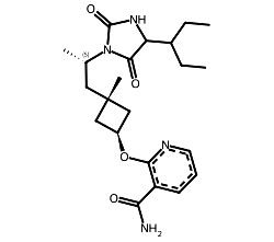 CCC(CC)C1NC(=O)N([C@@H](C)C[C@]2(C)C[C@@H](Oc3ncccc3C(N)=O)C2)C1=O